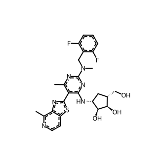 Cc1nc(N(C)Cc2c(F)cccc2F)nc(N[C@@H]2C[C@H](CO)[C@@H](O)[C@H]2O)c1-c1nc2c(C)nccc2s1